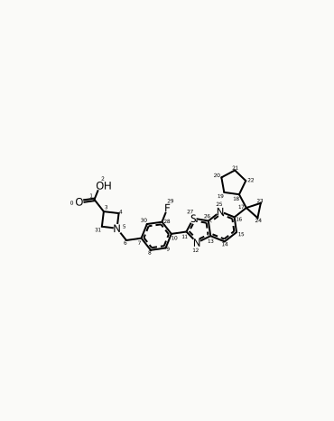 O=C(O)C1CN(Cc2ccc(-c3nc4ccc(C5(C6CCCC6)CC5)nc4s3)c(F)c2)C1